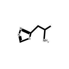 CC(N)Cc1nncs1